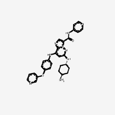 N[C@H]1CC[C@H](Nc2cc(Nc3ccc(Oc4cccnc4)cc3)c3ncc(C(=O)Nc4ccncc4)n3n2)CC1